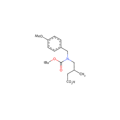 COc1ccc(CN(CC(C)CC(=O)O)C(=O)OC(C)(C)C)cc1